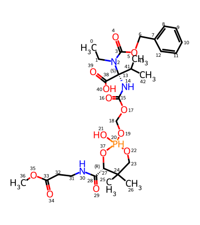 CCN(C(=O)OCc1ccccc1)[C@](NC(=O)OCO[PH]1(O)OCC(C)(C)[C@H](C(=O)NCCC(=O)OC)O1)(C(=O)O)C(C)C